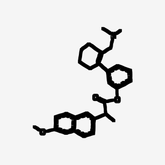 COc1ccc2cc(C(C)C(=O)Oc3cccc(C4=C(CN(C)C)CCCC4)c3)ccc2c1